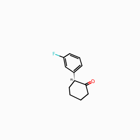 O=C1CCCC[C@@H]1c1cccc(F)c1